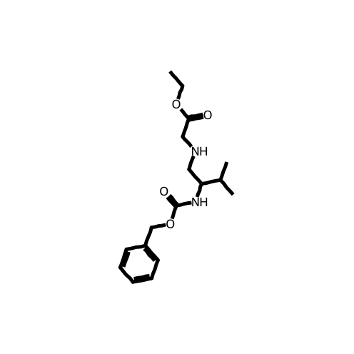 CCOC(=O)CNCC(NC(=O)OCc1ccccc1)C(C)C